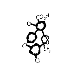 O=C(O)c1ccc(C2=NOC(c3cc(Cl)cc(Cl)c3)(C(F)(F)F)C2)c(-c2ccccc2)c1Cl